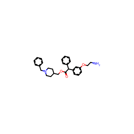 NCCOc1cccc(C(C(=O)OCC2CCN(Cc3ccccc3)CC2)c2ccccc2)c1